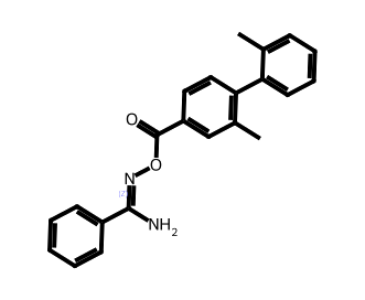 Cc1ccccc1-c1ccc(C(=O)O/N=C(\N)c2ccccc2)cc1C